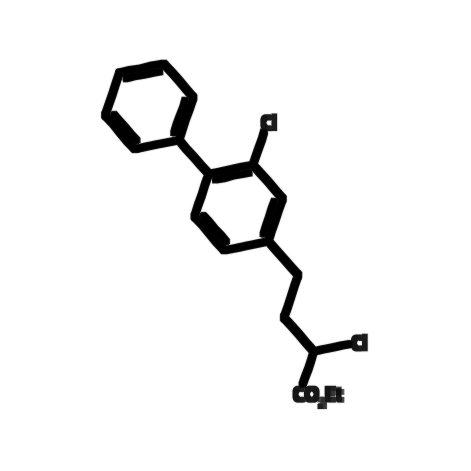 CCOC(=O)C(Cl)CCc1ccc(-c2ccccc2)c(Cl)c1